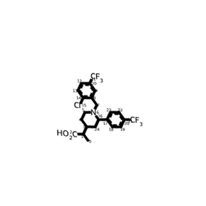 CC(C(=O)O)C1CCN(Cc2cc(C(F)(F)F)ccc2Cl)C(c2ccc(C(F)(F)F)cc2)C1